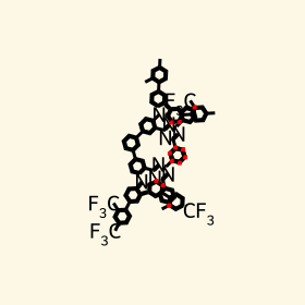 Cc1ccc(-c2ccc3c(c2)c2cc(-c4ccc(C)cc4C(F)(F)F)ccc2n3-c2ccc(-c3cccc(-c4ccc(-n5c6ccc(-c7ccc(C(F)(F)F)cc7C)cc6c6cc(-c7ccc(C(F)(F)F)cc7C(F)(F)F)ccc65)c(-c5nc(-c6ccccc6)nc(-c6ccccc6)n5)c4)c3)cc2-c2nc(-c3ccccc3)nc(-c3ccccc3)n2)c(C)c1